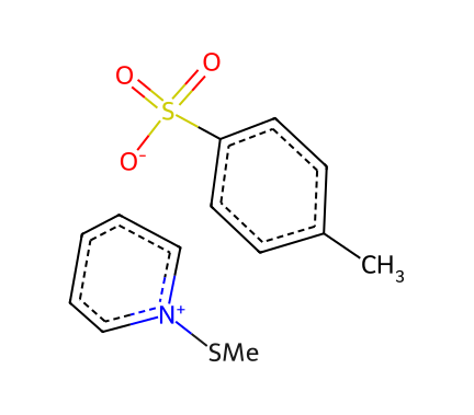 CS[n+]1ccccc1.Cc1ccc(S(=O)(=O)[O-])cc1